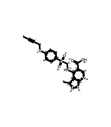 CC#CCOc1ccc(S(=O)(=O)CNc2c(C(=O)O)cnc3snc(C)c23)cc1